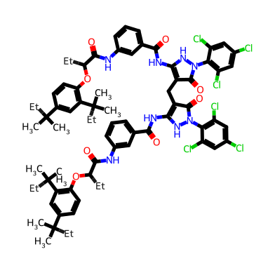 CCC(Oc1ccc(C(C)(C)CC)cc1C(C)(C)CC)C(=O)Nc1cccc(C(=O)Nc2[nH]n(-c3c(Cl)cc(Cl)cc3Cl)c(=O)c2Cc2c(NC(=O)c3cccc(NC(=O)C(CC)Oc4ccc(C(C)(C)CC)cc4C(C)(C)CC)c3)[nH]n(-c3c(Cl)cc(Cl)cc3Cl)c2=O)c1